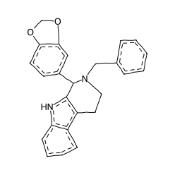 c1ccc(CN2CCc3c([nH]c4ccccc34)C2c2ccc3c(c2)OCO3)cc1